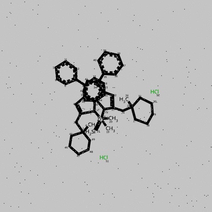 CC1(CC2=Cc3c(-c4ccccc4)cccc3[CH]2[Zr]([CH3])([CH3])(=[SiH2])[CH]2C(CC3(C)CCCCC3)=Cc3c(-c4ccccc4)cccc32)CCCCC1.Cl.Cl